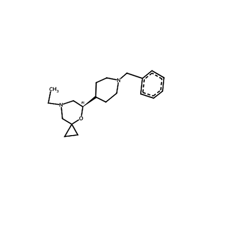 CCN1C[C@@H](C2CCN(Cc3ccccc3)CC2)OC2(CC2)C1